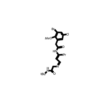 COc1c(Br)cc(Cl)cc1CC(=O)N/C(=C/C=N\CC(=O)NC(C)(C)C)C(C)C